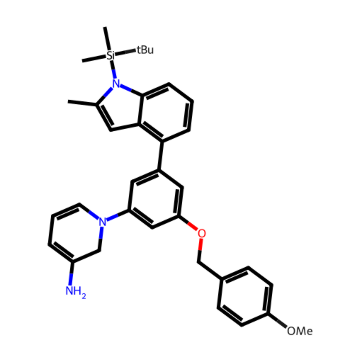 COc1ccc(COc2cc(-c3cccc4c3cc(C)n4[Si](C)(C)C(C)(C)C)cc(N3C=CC=C(N)C3)c2)cc1